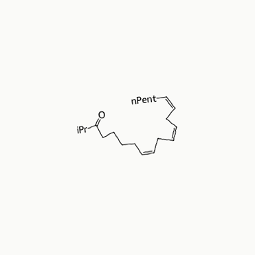 CCCCC/C=C\C/C=C\C/C=C\CCCCC(=O)C(C)C